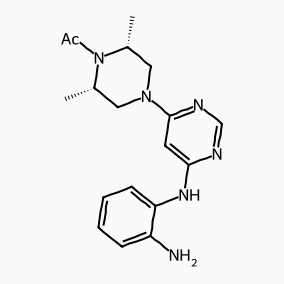 CC(=O)N1[C@H](C)CN(c2cc(Nc3ccccc3N)ncn2)C[C@@H]1C